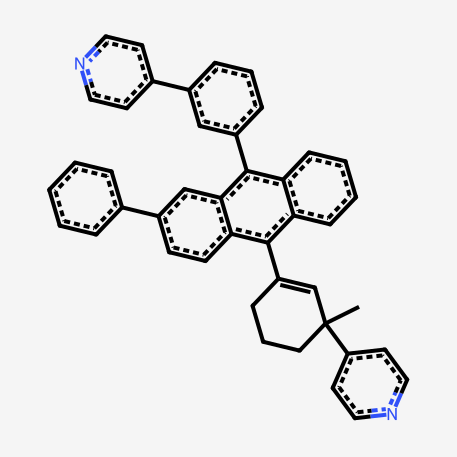 CC1(c2ccncc2)C=C(c2c3ccccc3c(-c3cccc(-c4ccncc4)c3)c3cc(-c4ccccc4)ccc23)CCC1